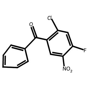 O=C(c1ccccc1)c1cc([N+](=O)[O-])c(F)cc1Cl